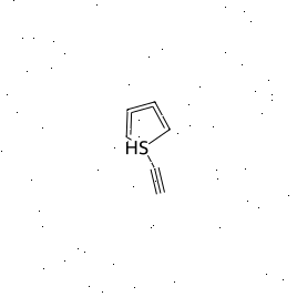 C#C[SH]1C=C=C=C1